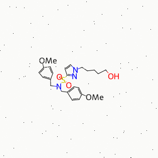 COc1ccc(CN(Cc2ccc(OC)cc2)S(=O)(=O)c2ccn(CCCCCO)n2)cc1